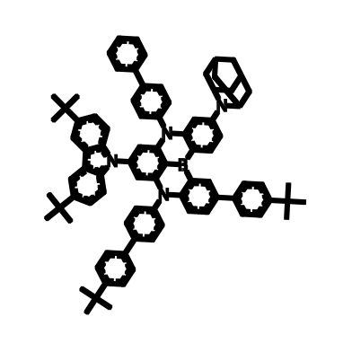 CC(C)(C)c1ccc(-c2ccc(N3c4ccc(-c5ccc(C(C)(C)C)cc5)cc4B4c5ccc(N6C7CC8CC(C7)CC6C8)cc5N(c5ccc(-c6ccccc6)cc5)c5cc(-n6c7ccc(C(C)(C)C)cc7c7cc(C(C)(C)C)ccc76)cc3c54)cc2)cc1